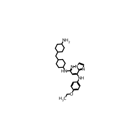 CCOc1ccc(Nc2cc(NC3CCC(CC4CCC(N)CC4)CC3)nn3ccnc23)cc1